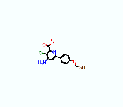 COC(=O)c1nc(-c2ccc(OCS)cc2)cc(N)c1Cl